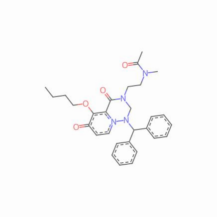 CCCCOc1c2n(ccc1=O)N(C(c1ccccc1)c1ccccc1)CN(CCN(C)C(C)=O)C2=O